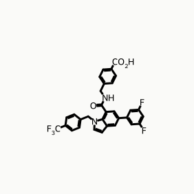 O=C(O)c1ccc(CNC(=O)c2cc(-c3cc(F)cc(F)c3)cc3ccn(Cc4ccc(C(F)(F)F)cc4)c23)cc1